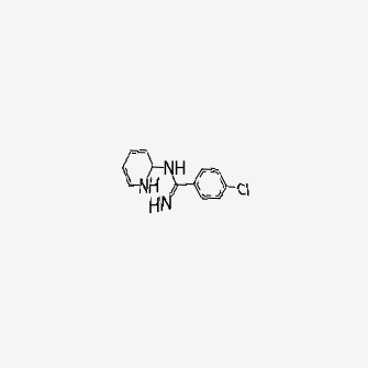 N=C(NC1C=CC=CN1)c1ccc(Cl)cc1